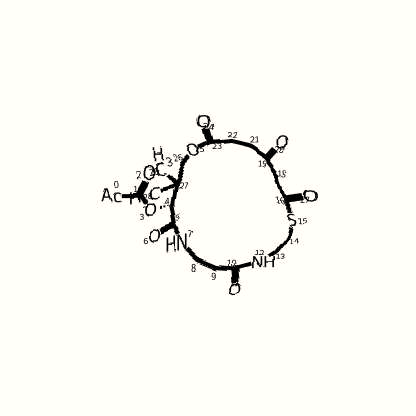 CC(=O)C(=O)O[C@H]1C(=O)NCCC(=O)NCCSC(=O)CC(=O)CCC(=O)OCC1(C)C